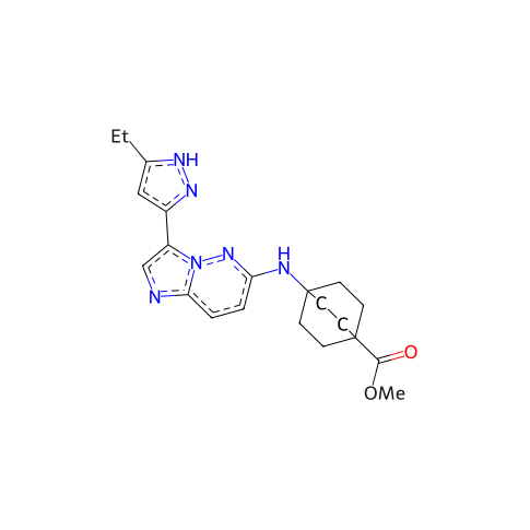 CCc1cc(-c2cnc3ccc(NC45CCC(C(=O)OC)(CC4)CC5)nn23)n[nH]1